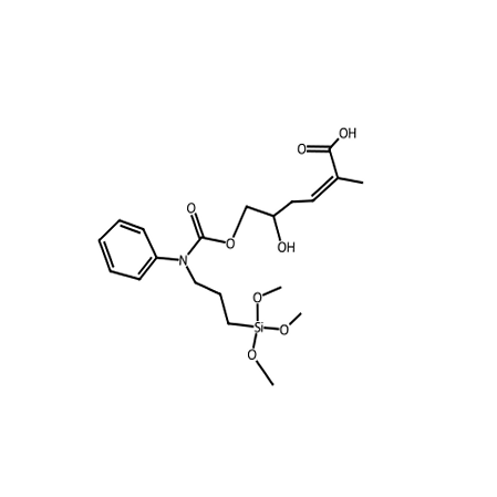 CO[Si](CCCN(C(=O)OCC(O)CC=C(C)C(=O)O)c1ccccc1)(OC)OC